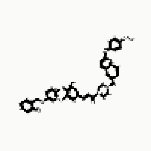 COc1ccc(Oc2ccc3cc(CN4CCN(C(=O)C=Cc5cc(C)c(Oc6ccc(OCc7ccccc7Cl)cn6)c(Cl)c5)CC4)ccc3n2)cc1